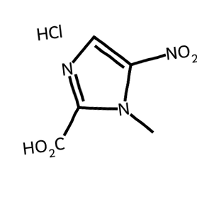 Cl.Cn1c([N+](=O)[O-])cnc1C(=O)O